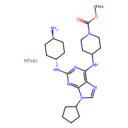 CCCCCCOC(=O)N1CCC(Nc2nc(N[C@H]3CC[C@H](N)CC3)nc3c2ncn3C2CCCC2)CC1.Cl.Cl